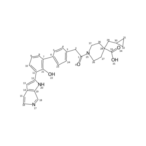 O=C(Cc1ccc(-c2cccc(-c3cc4ccncc4[nH]3)c2O)cc1)N1CCC(CC2CC2)(C(=O)O)CC1